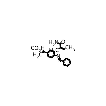 C=C(C(=O)O)c1ccc(N=Nc2ccccc2)cc1.CC=C(C)C(N)=O